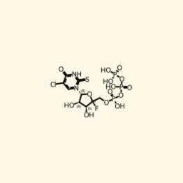 O=c1[nH]c(=S)n([C@@H]2O[C@](F)(COP(=O)(O)OP(=O)(O)OP(=O)(O)O)[C@@H](O)[C@H]2O)cc1Cl